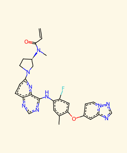 C=CC(=O)N(C)[C@@H]1CCN(c2ccc3ncnc(Nc4cc(C)c(Oc5ccn6ncnc6c5)cc4F)c3n2)C1